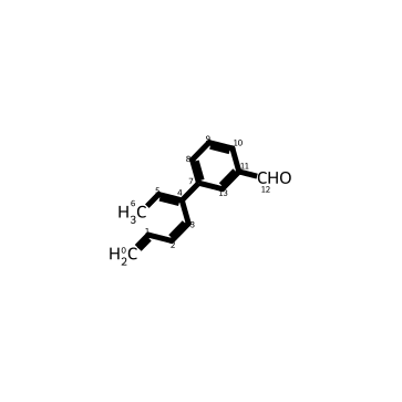 C=C/C=C\C(=C/C)c1cccc(C=O)c1